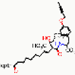 CC#CCOc1ccc(C[C@H](NC(=O)[C@@H](/C=C/CCCCCCC(=O)CCCCCCC)[C@@](O)(CC(=O)O)C(=O)O)C(=O)OCC)cc1